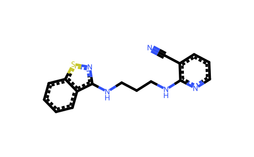 N#Cc1cccnc1NCCCNc1nsc2ccccc12